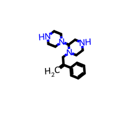 C=C(CN1CCNCC1N1CCNCC1)c1ccccc1